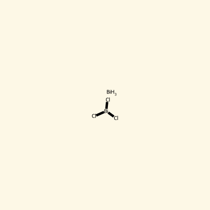 [BiH3].[Cl][Bi]([Cl])[Cl]